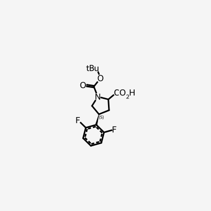 CC(C)(C)OC(=O)N1C[C@H](c2c(F)cccc2F)CC1C(=O)O